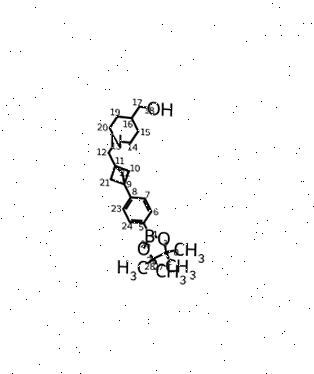 CC1(C)OB(c2ccc(C34CC(CN5CCC(CO)CC5)(C3)C4)cc2)OC1(C)C